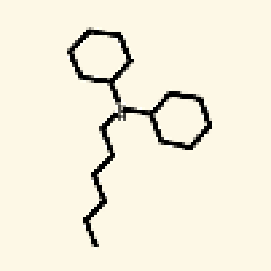 CCCCCC[SiH](C1CCCCC1)C1CCCCC1